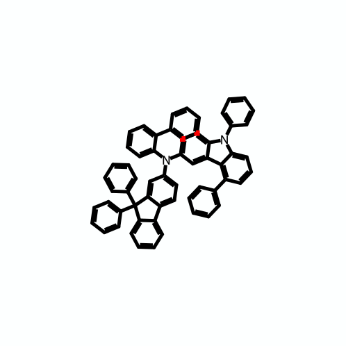 c1ccc(-c2ccccc2N(c2ccc3c(c2)C(c2ccccc2)(c2ccccc2)c2ccccc2-3)c2ccc3c(c2)c2c(-c4ccccc4)cccc2n3-c2ccccc2)cc1